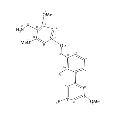 COc1cc(F)cc(-c2cccc(COc3cc(OC)c(CN)c(OC)c3)c2C)c1